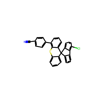 N#Cc1ccc(-c2cccc3c2Sc2ccccc2C32c3ccccc3-c3c(Cl)cccc32)cc1